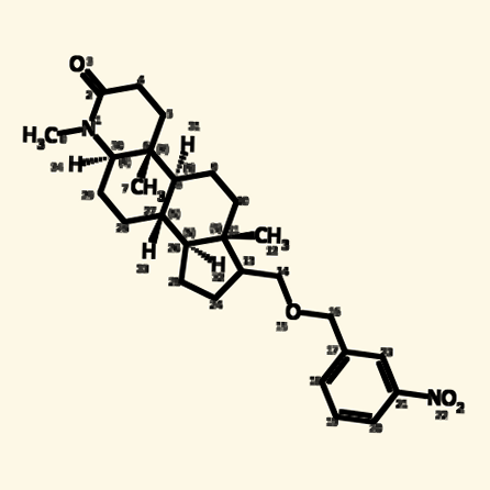 CN1C(=O)CC[C@]2(C)[C@H]3CC[C@]4(C)C(COCc5cccc([N+](=O)[O-])c5)CC[C@H]4[C@@H]3CC[C@@H]12